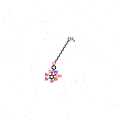 CCCCCCCCCCCCCCCCOc1ccc(NC(=O)c2c(Br)c(Br)c(Br)c(Br)c2C(=O)O)cc1